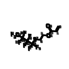 C=CC(=O)OCCSC(F)(F)C(F)(F)C(F)(F)C(F)(F)F